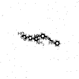 Nc1cc(N2CCN(C(=O)CC(=O)O)CC2)nc(NC2CCC(CNCCCNC3CCCCC3)CC2)n1